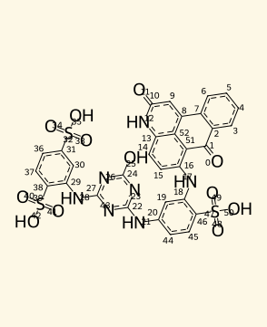 O=C1c2ccccc2-c2cc(=O)[nH]c3ccc(Nc4cc(Nc5nc(O)nc(Nc6cc(S(=O)(=O)O)ccc6S(=O)(=O)O)n5)ccc4S(=O)(=O)O)c1c23